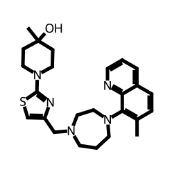 Cc1ccc2cccnc2c1N1CCCN(Cc2csc(N3CCC(C)(O)CC3)n2)CC1